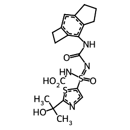 CC(C)(O)c1ncc(S(=O)(=NC(=O)Nc2c3c(cc4c2CC4)CCC3)NC(=O)O)s1